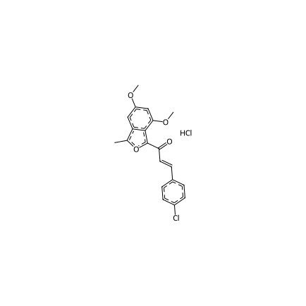 COc1cc(OC)c2c(C(=O)C=Cc3ccc(Cl)cc3)oc(C)c2c1.Cl